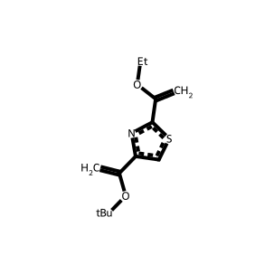 C=C(OC(C)(C)C)c1csc(C(=C)OCC)n1